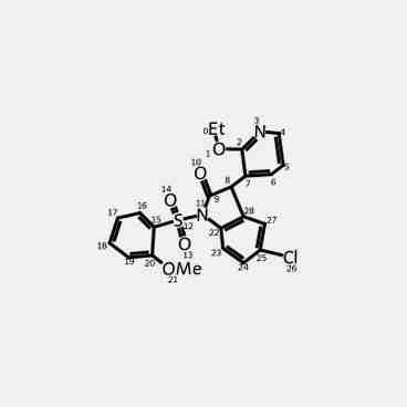 CCOc1ncccc1C1C(=O)N(S(=O)(=O)c2ccccc2OC)c2ccc(Cl)cc21